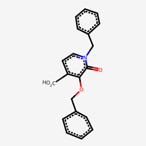 O=C(O)c1ccn(Cc2ccccc2)c(=O)c1OCc1ccccc1